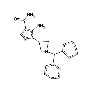 NC(=O)c1cnn(C2CN(C(c3ccccc3)c3ccccc3)C2)c1N